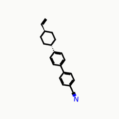 C=C[C@H]1CC[C@H](c2ccc(-c3ccc(C#N)cc3)cc2)CC1